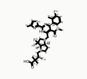 COC(=O)C1=C(CN2CC(F)(F)[C@H]3[C@@H]2CCN3C[C@@H](F)C(C)(C)C(=O)O)NC(c2nc(C)cs2)=N[C@H]1c1cccc(F)c1C